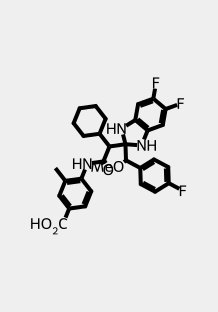 COC(c1ccc(F)cc1)C1(C(C(=O)Nc2ccc(C(=O)O)cc2C)C2CCCCC2)Nc2cc(F)c(F)cc2N1